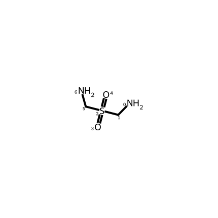 NCS(=O)(=O)CN